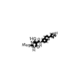 CSc1nc(O)c(C(=O)Nc2ccc3nc(-c4c[nH]nn4)ccc3c2)c(=O)[nH]1